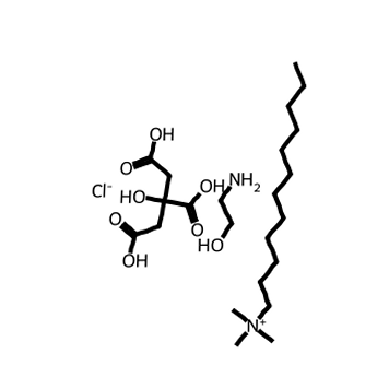 CCCCCCCCCCCC[N+](C)(C)C.NCCO.O=C(O)CC(O)(CC(=O)O)C(=O)O.[Cl-]